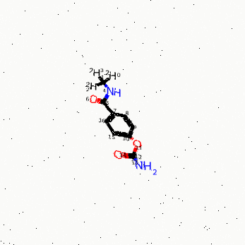 [2H]C([2H])([2H])NC(=O)c1ccc(OC(N)=O)cc1